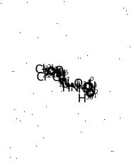 Cc1cc(NC(=O)NCCN2CCC(N(C)S(=O)(=O)c3ccc(Cl)c(Cl)c3)C2)c2ccccc2n1